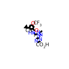 Cc1nc([C@H](C)NC(=O)c2cc(OC(F)(F)F)cc(C3(C#N)CC3)c2)n(-c2cnc(C(=O)O)cn2)n1